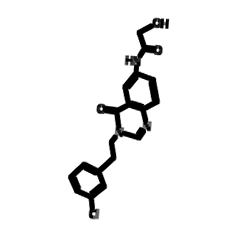 O=C(CO)Nc1ccc2ncn(CCc3cccc(Cl)c3)c(=O)c2c1